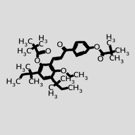 CCOc1c(C(C)(C)CC)cc(C(C)(C)CC)c(OC(=O)C(C)(C)C)c1C=CC(=O)c1ccc(OC(=O)C(C)(C)C)cc1